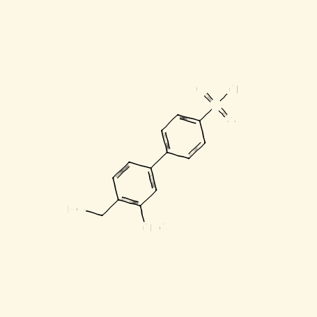 CS(=O)(=O)c1ccc(-c2ccc(CO)c(C=O)c2)cc1